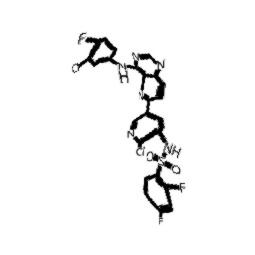 O=S(=O)(Nc1cc(-c2ccc3ncnc(Nc4ccc(F)c(Cl)c4)c3n2)cnc1Cl)c1ccc(F)cc1F